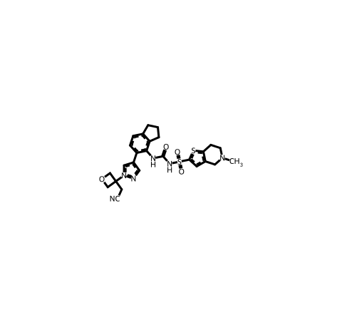 CN1CCc2sc(S(=O)(=O)NC(=O)Nc3c(-c4cnn(C5(CC#N)COC5)c4)ccc4c3CCC4)cc2C1